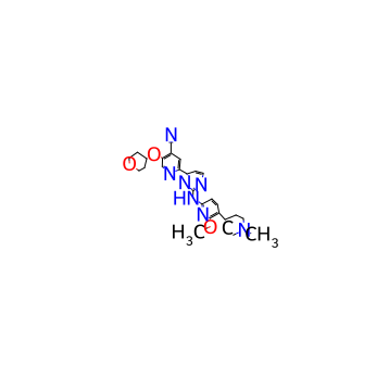 COc1nc(Nc2nccc(-c3cc(C#N)c(OC4CCOCC4)cn3)n2)ccc1C1CCN(C)CC1